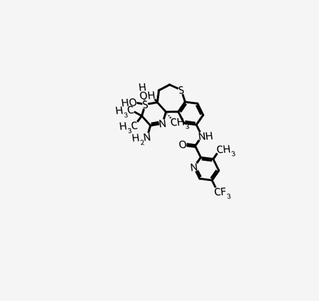 Cc1cc(C(F)(F)F)cnc1C(=O)Nc1ccc2c(c1)[C@@]1(C)N=C(N)C(C)(C)S(O)(O)[C@@H]1CCS2